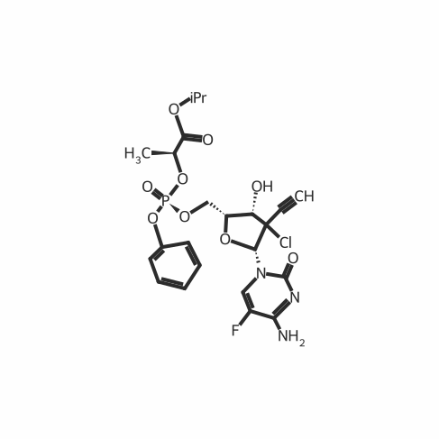 C#CC1(Cl)[C@@H](O)[C@@H](CO[P@](=O)(Oc2ccccc2)O[C@@H](C)C(=O)OC(C)C)O[C@H]1n1cc(F)c(N)nc1=O